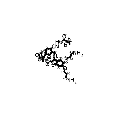 CCc1c(S(=O)(=O)NC(c2ccc(C#N)c(F)c2)P(=O)(O)O)sc2cc(OCCCN)c(OCCCN)cc12.O=C(O)C(F)(F)F